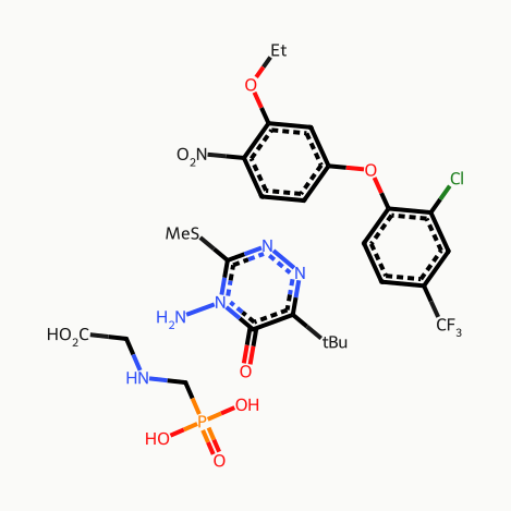 CCOc1cc(Oc2ccc(C(F)(F)F)cc2Cl)ccc1[N+](=O)[O-].CSc1nnc(C(C)(C)C)c(=O)n1N.O=C(O)CNCP(=O)(O)O